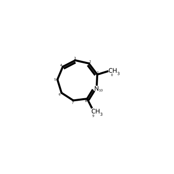 CC1=C/C=C\CCC/C(C)=N\1